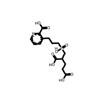 O=C(O)CCC(CP(=O)(O)CCCc1cccnc1C(=O)O)C(=O)O